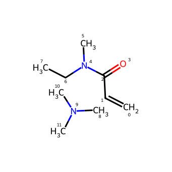 C=CC(=O)N(C)CC.CN(C)C